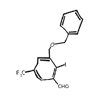 O=Cc1cc(C(F)(F)F)cc(OCc2ccccc2)c1I